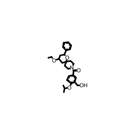 CCOC1CC(c2ccccc2)OC2(CCN(C(=O)c3ccc(OC(C)C)c(CO)c3)CC2)C1